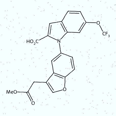 COC(=O)Cc1coc2ccc(-n3c(C(=O)O)cc4ccc(OC(F)(F)F)cc43)cc12